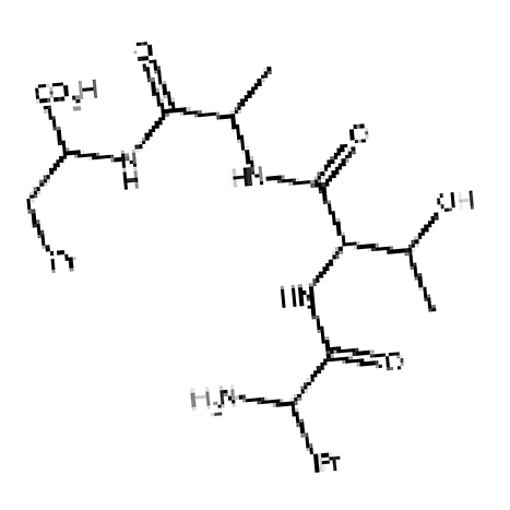 CC(C)CC(NC(=O)C(C)NC(=O)C(NC(=O)C(N)C(C)C)C(C)O)C(=O)O